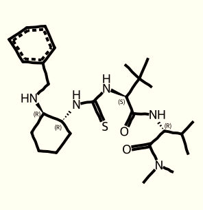 CC(C)[C@@H](NC(=O)[C@@H](NC(=S)N[C@@H]1CCCC[C@H]1NCc1ccccc1)C(C)(C)C)C(=O)N(C)C